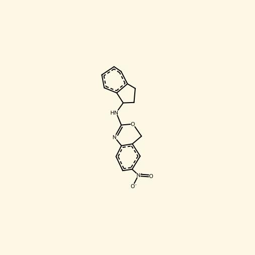 O=[N+]([O-])c1ccc2c(c1)COC(NC1CCc3ccccc31)=N2